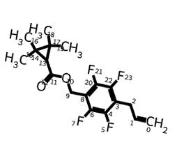 C=CCc1c(F)c(F)c(COC(=O)C2C(C)(C)C2(C)C)c(F)c1F